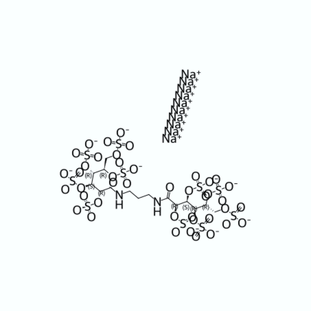 O=C(NCCCNC(=O)[C@H](OS(=O)(=O)[O-])[C@@H](OS(=O)(=O)[O-])[C@H](OS(=O)(=O)[O-])[C@@H](COS(=O)(=O)[O-])OS(=O)(=O)[O-])[C@H](OS(=O)(=O)[O-])[C@@H](OS(=O)(=O)[O-])[C@H](OS(=O)(=O)[O-])[C@@H](COS(=O)(=O)[O-])OS(=O)(=O)[O-].[Na+].[Na+].[Na+].[Na+].[Na+].[Na+].[Na+].[Na+].[Na+].[Na+]